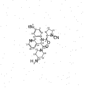 CC(C)(C)c1ccc(N(C(=O)[C@H]2CCCN2C#N)C(C(=O)N2CCC(N)CC2)c2cccnc2)cc1